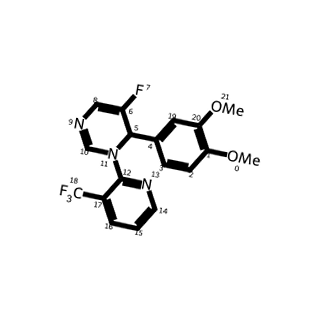 COc1ccc(C2C(F)=CN=CN2c2ncccc2C(F)(F)F)cc1OC